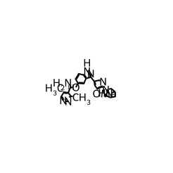 COc1cc(-c2n[nH]c3ccc(O[C@H](N)c4c(C)cnnc4C)cc23)cnc1N1CC2CC(C1)N2